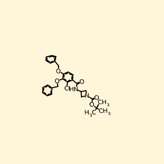 CC(C)(C)OC(=O)N1CC(NC(=O)c2ccc(OCc3ccccc3)c(OCc3ccccc3)c2Cl)C1